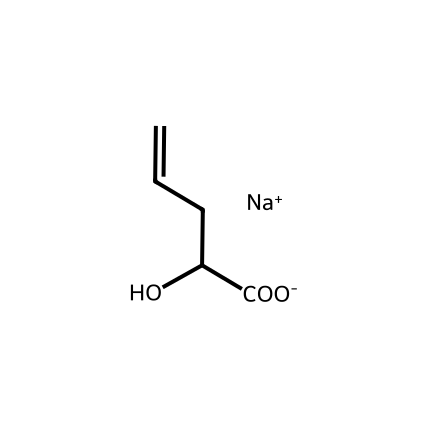 C=CCC(O)C(=O)[O-].[Na+]